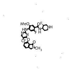 COc1cc(C(=O)N[C@@H]2CCNC[C@@H]2F)c(F)cc1Nc1ncc(C(F)(F)F)c(Oc2cccc3c2C(=O)N(C)C3)n1